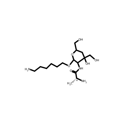 C[C@@H](N)C(=O)NC1C(OCCCCCCN)OC(CO)CC1(O)CO